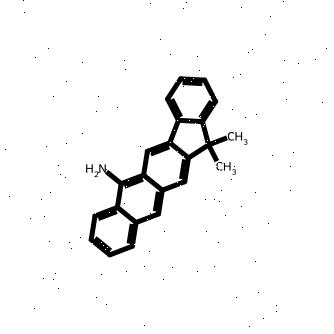 CC1(C)c2ccccc2-c2cc3c(N)c4ccccc4cc3cc21